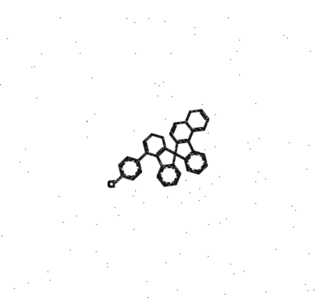 Clc1ccc(C2=CCCC3=C2c2ccccc2C32C3=C(C4=CC=CCC4C=C3)c3ccccc32)cc1